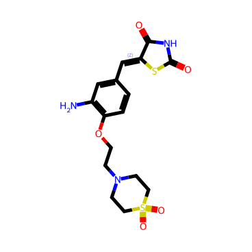 Nc1cc(/C=C2\SC(=O)NC2=O)ccc1OCCN1CCS(=O)(=O)CC1